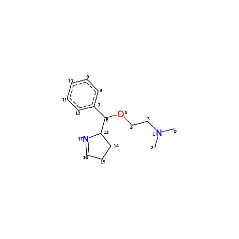 CN(C)CCOC(c1ccccc1)C1CCC=N1